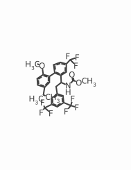 COC(=O)NC(Cc1cc(C(F)(F)F)cc(C(F)(F)F)c1)c1cc(C(F)(F)F)ccc1-c1cc(C(C)C)ccc1OC